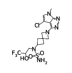 Cn1cc(Cl)c2c(N3CC4(CC(N(CC(O)C(F)(F)F)S(N)(=O)=O)C4)C3)ncnc21